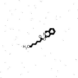 C=CCCCCC(=O)ON1Cc2ccccc2C=N1